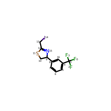 FC(F)(F)c1cccc(C2CSC(CI)=N2)c1